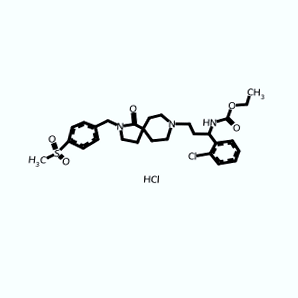 CCOC(=O)NC(CCN1CCC2(CC1)CCN(Cc1ccc(S(C)(=O)=O)cc1)C2=O)c1ccccc1Cl.Cl